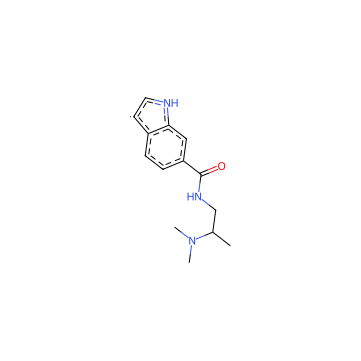 CC(CNC(=O)c1ccc2[c]c[nH]c2c1)N(C)C